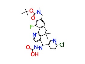 Cc1cc(CN(C)C(=O)OC(C)(C)C)cc(F)c1-c1ncc2c(c(-c3ccc(Cl)nc3)nn2C(=O)O)c1C(C)(C)C